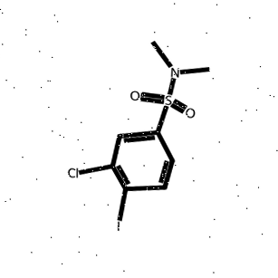 CN(C)S(=O)(=O)c1ccc(I)c(Cl)c1